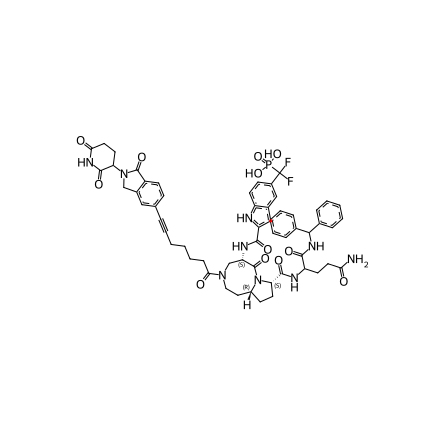 NC(=O)CCC(NC(=O)[C@@H]1CC[C@@H]2CCN(C(=O)CCCCC#Cc3ccc4c(c3)CN(C3CCC(=O)NC3=O)C4=O)C[C@H](NC(=O)c3cc4cc(C(F)(F)P(=O)(O)O)ccc4[nH]3)C(=O)N21)C(=O)NC(c1ccccc1)c1ccccc1